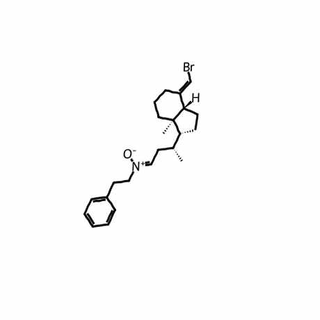 C[C@H](C/C=[N+](\[O-])CCc1ccccc1)[C@H]1CC[C@H]2/C(=C/Br)CCC[C@]12C